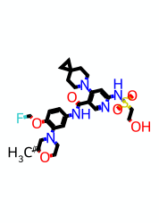 C[C@@H]1CN(c2cc(NC(=O)c3cnc(NS(=O)(=O)CCO)cc3N3CCC4(CC3)CC4)ccc2OCF)CCO1